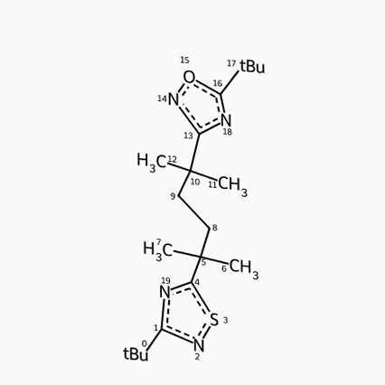 CC(C)(C)c1nsc(C(C)(C)CCC(C)(C)c2noc(C(C)(C)C)n2)n1